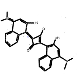 CN(C)c1cc(O)c(C2=C([O-])/C(=C3\C(O)=CC(=[N+](C)C)c4ccccc43)C2=O)c2ccccc12